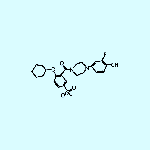 CS(=O)(=O)c1ccc(OC2CCCCC2)c(C(=O)N2CCN(c3ccc(C#N)c(F)c3)CC2)c1